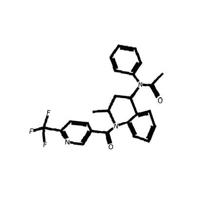 CC(=O)N(c1ccccc1)C1CC(C)N(C(=O)c2ccc(C(F)(F)F)nc2)c2ccccc21